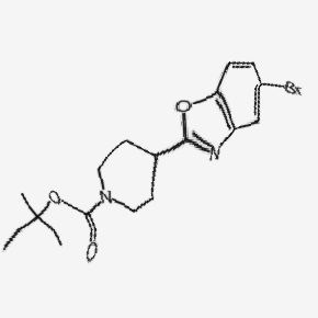 CC(C)(C)OC(=O)N1CCC(c2nc3cc(Br)ccc3o2)CC1